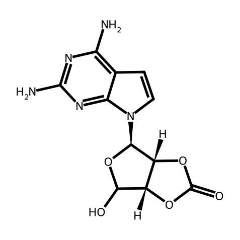 Nc1nc(N)c2ccn([C@@H]3OC(O)[C@H]4OC(=O)O[C@H]43)c2n1